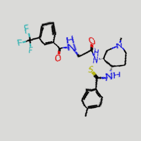 Cc1ccc(C(=S)N[C@H]2CCN(C)C[C@H]2NC(=O)CNC(=O)c2cccc(C(F)(F)F)c2)cc1